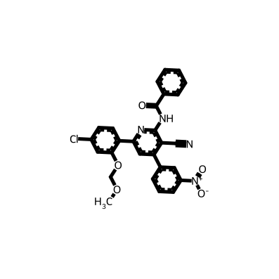 COCOc1cc(Cl)ccc1-c1cc(-c2cccc([N+](=O)[O-])c2)c(C#N)c(NC(=O)c2ccccc2)n1